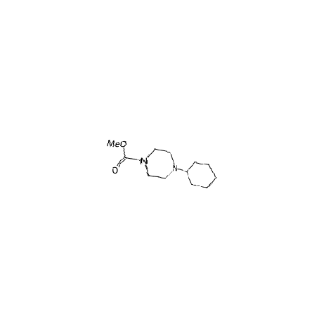 COC(=O)N1CCN(C2CCCCC2)CC1